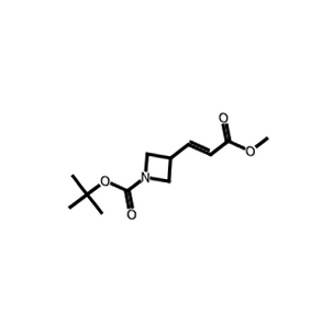 COC(=O)C=CC1CN(C(=O)OC(C)(C)C)C1